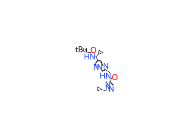 CC(C)(C)CC(=O)NC(c1cnn2cc(CNC(=O)c3cnn(CC4CC4)n3)nc2c1)C1CC1